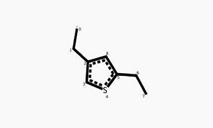 [CH2]Cc1csc(CC)c1